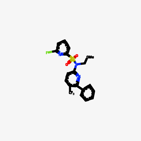 COCN(c1ccc(C(F)(F)F)c(-c2[c]cccc2)n1)S(=O)(=O)c1cccc(F)n1